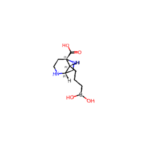 O=C(O)[C@@]12CCN[C@@H](CN1)[C@H]2CCCB(O)O